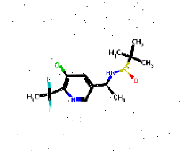 C[C@H](N[S@+]([O-])C(C)(C)C)c1cnc(C(C)(F)F)c(Cl)c1